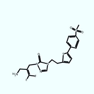 CS(=O)(=O)c1ccc(-c2ccc(CCn3cnn(CC(CN)=C(F)F)c3=O)s2)cc1